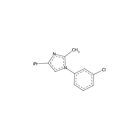 Cc1nc(C(C)C)cn1-c1cccc(Cl)c1